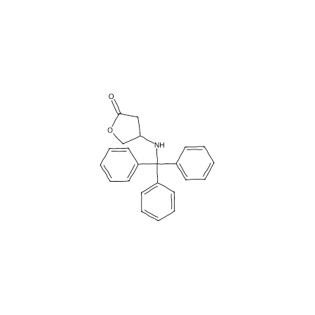 O=C1CC(NC(c2ccccc2)(c2ccccc2)c2ccccc2)CO1